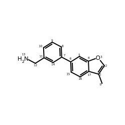 Cc1[c]oc2cc(-c3cccc(CN)c3)ccc12